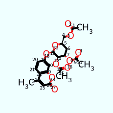 CC(=O)OC[C@H]1C[C@@H](OC(C)=O)[C@@H](OC(C)=O)[C@@H](Oc2ccc3c(C)cc(=O)oc3c2)O1